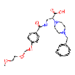 COCCOCOc1ccc(C(=O)NCC(C(=O)O)N2CCN(Cc3ccccc3)CC2)cc1